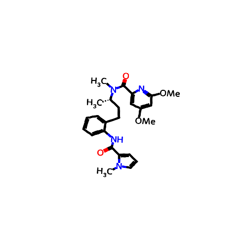 COc1cc(OC)nc(C(=O)N(C)[C@@H](C)CCc2ccccc2NC(=O)c2cccn2C)c1